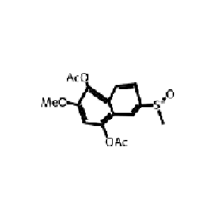 COc1cc(OC(C)=O)c2cc([S+](C)[O-])ccc2c1OC(C)=O